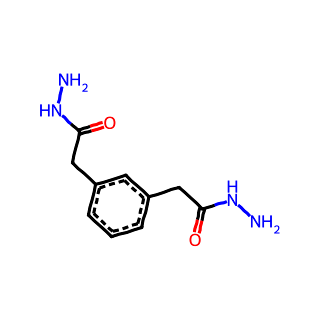 NNC(=O)Cc1cccc(CC(=O)NN)c1